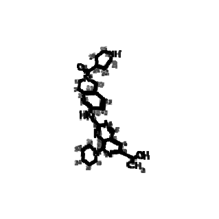 CC(O)c1cc2cnc(Nc3ccc4c(n3)CCN(C(=O)C3CCNCC3)C4)nc2c(N2CCCCC2)n1